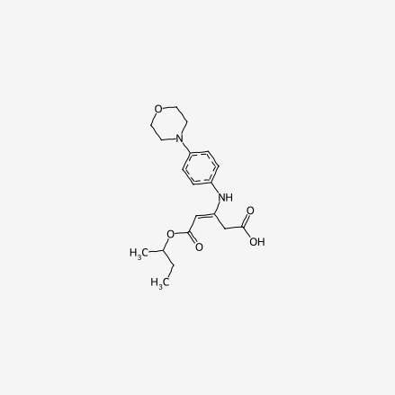 CCC(C)OC(=O)C=C(CC(=O)O)Nc1ccc(N2CCOCC2)cc1